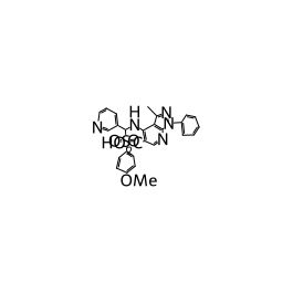 COc1ccc(S(=O)(=O)C(Nc2c(C(=O)O)cnc3c2c(C)nn3-c2ccccc2)c2cccnc2)cc1